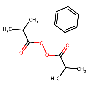 CC(C)C(=O)OOC(=O)C(C)C.c1ccccc1